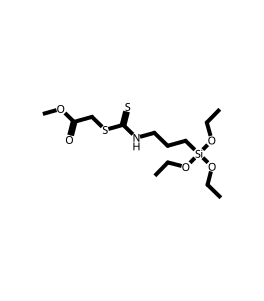 CCO[Si](CCCNC(=S)SCC(=O)OC)(OCC)OCC